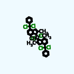 CC1=Cc2c(C(Cl)(Cl)c3ccccc3)ccc(C)c2[CH]1[Zr]([Cl])([Cl])[CH]1C(C)=Cc2c(C(Cl)(Cl)c3ccccc3)ccc(C)c21